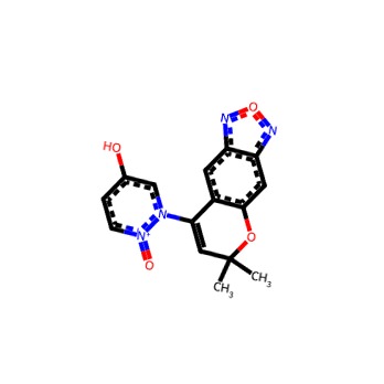 CC1(C)C=C(n2cc(O)cc[n+]2=O)c2cc3nonc3cc2O1